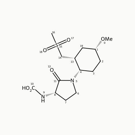 CO[C@@H]1CC[C@H](N2CC[C@H](NC(=O)O)C2=O)[C@H](CS(C)(=O)=O)C1